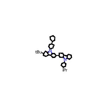 CC(C)c1ccc(-n2c3ccccc3c3ccc(-c4ccc5c6ccc(C(C)(C)C)cc6n(-c6ccc(-c7ccccc7)cc6)c5c4)cc32)cc1